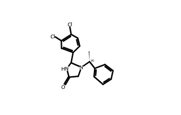 C[C@H](c1ccccc1)N1CC(=O)NC1c1ccc(Cl)c(Cl)c1